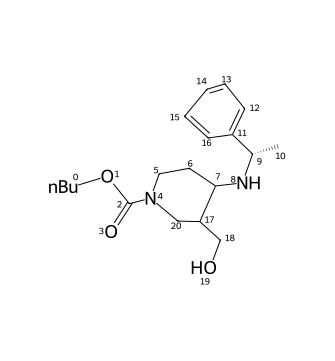 CCCCOC(=O)N1CCC(N[C@@H](C)c2ccccc2)C(CO)C1